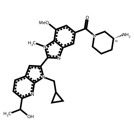 COc1cc(C(=O)N2CCC[C@@H](N)C2)cc2nc(-c3cc4ccc(C(C)O)nc4n3CC3CC3)n(C)c12